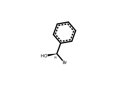 O[C@H](Br)c1ccccc1